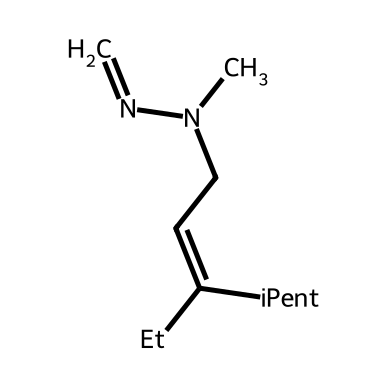 C=NN(C)CC=C(CC)C(C)CCC